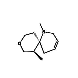 C[C@H]1COCC[C@]12CC=CCN2C